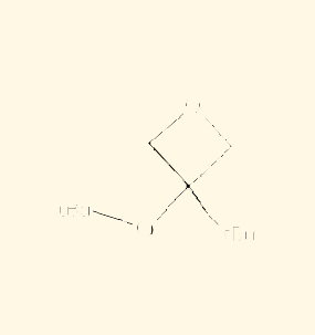 CC(C)(C)OC1(C(C)(C)C)COC1